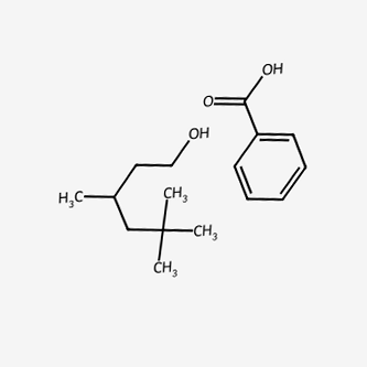 CC(CCO)CC(C)(C)C.O=C(O)c1ccccc1